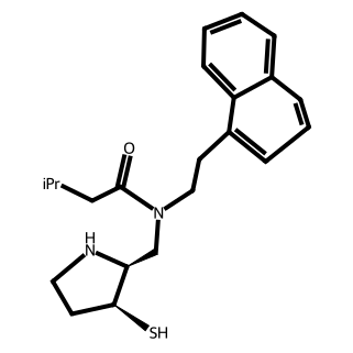 CC(C)CC(=O)N(CCc1cccc2ccccc12)C[C@@H]1NCC[C@@H]1S